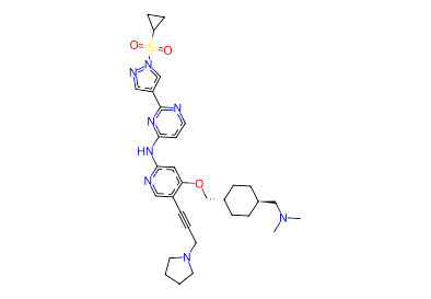 CN(C)C[C@H]1CC[C@H](COc2cc(Nc3ccnc(-c4cnn(S(=O)(=O)C5CC5)c4)n3)ncc2C#CCN2CCCC2)CC1